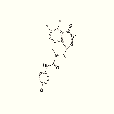 CC(c1c[nH]c(=O)c2c(F)c(F)ccc12)N(C)C(=O)Nc1ccc(Cl)cc1